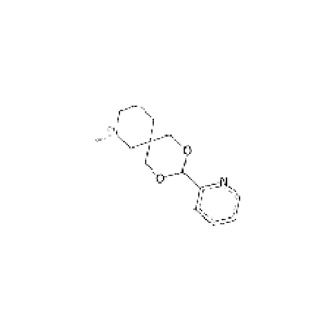 C[C@@H]1CCCC2(COC(c3ccccn3)OC2)C1